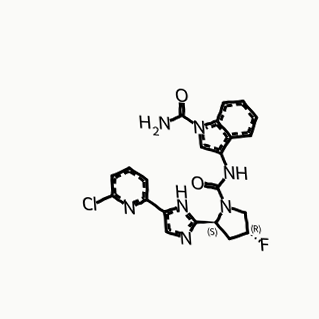 NC(=O)n1cc(NC(=O)N2C[C@H](F)C[C@H]2c2ncc(-c3cccc(Cl)n3)[nH]2)c2ccccc21